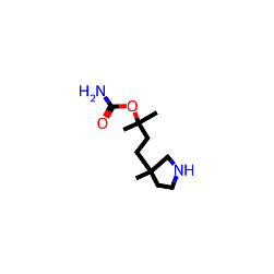 CC1(CCC(C)(C)OC(N)=O)CCNC1